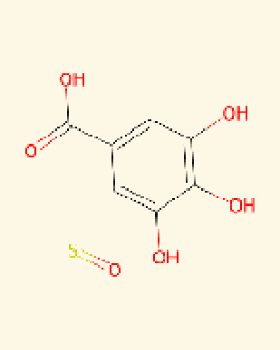 O=C(O)c1cc(O)c(O)c(O)c1.O=S